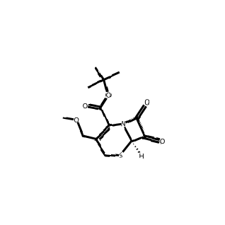 COCC1=C(C(=O)OC(C)(C)C)N2C(=O)C(=O)[C@H]2SC1